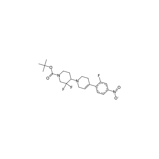 CC(C)(C)OC(=O)N1CCC(N2CC=C(c3ccc([N+](=O)[O-])cc3F)CC2)C(F)(F)C1